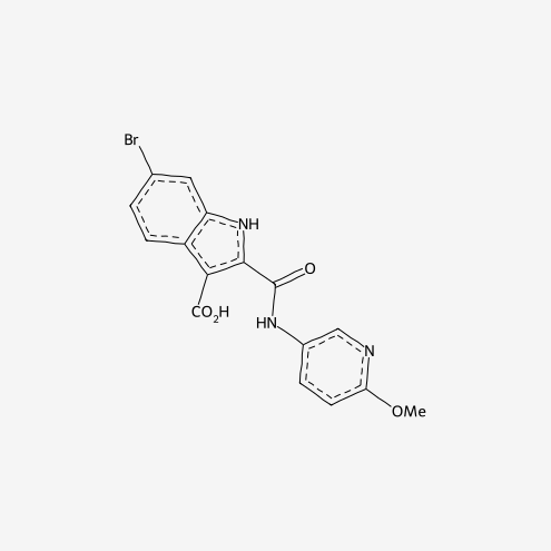 COc1ccc(NC(=O)c2[nH]c3cc(Br)ccc3c2C(=O)O)cn1